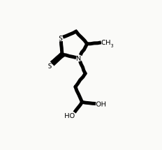 CC1CSC(=S)N1CCC(O)O